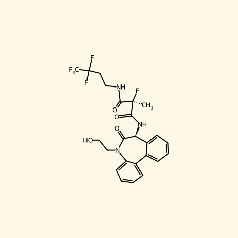 C[C@@](F)(C(=O)NCCC(F)(F)C(F)(F)F)C(=O)N[C@@H]1C(=O)N(CCO)c2ccccc2-c2ccccc21